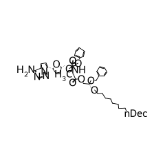 CCCCCCCCCCCCCCCCCCOC[C@H](COC(=O)C(C)NP(=O)(OC[C@@H]1CC[C@H](c2ccc3c(N)ncnn23)O1)Oc1ccccc1)OCc1ccccc1